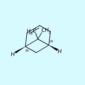 CC1(C)[C@@H]2CC=C[C@H]1C2